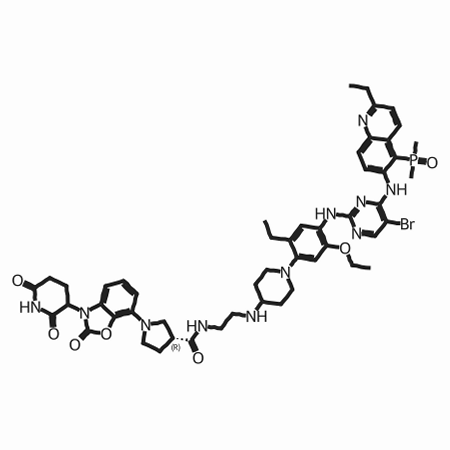 CCOc1cc(N2CCC(NCCNC(=O)[C@@H]3CCN(c4cccc5c4oc(=O)n5C4CCC(=O)NC4=O)C3)CC2)c(CC)cc1Nc1ncc(Br)c(Nc2ccc3nc(CC)ccc3c2P(C)(C)=O)n1